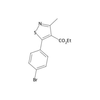 CCOC(=O)c1c(C)nsc1-c1ccc(Br)cc1